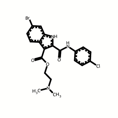 CN(C)CCOC(=O)c1c(C(=O)Nc2ccc(Cl)cc2)[nH]c2cc(Br)ccc12